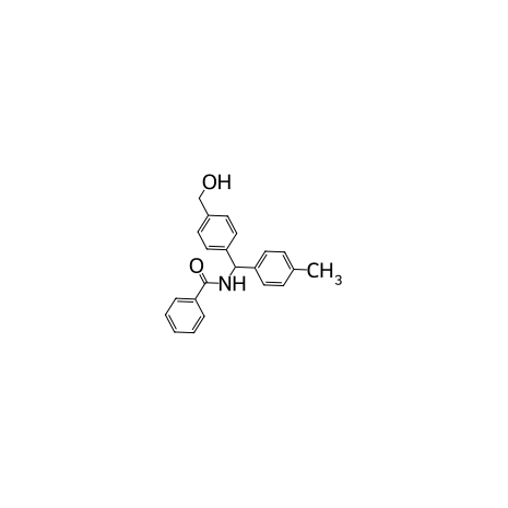 Cc1ccc(C(NC(=O)c2ccccc2)c2ccc(CO)cc2)cc1